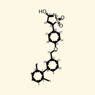 Cc1cccc(C)c1-c1cccc(COc2ccc(C3=CC(O)=NS3(=O)=O)cc2)c1